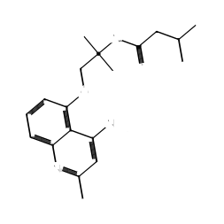 Cc1cc(N)c2c(OCC(C)(C)NC(=O)CC(C)C)cccc2n1